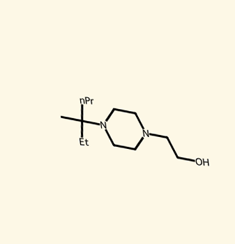 CCCC(C)(CC)N1CCN(CCO)CC1